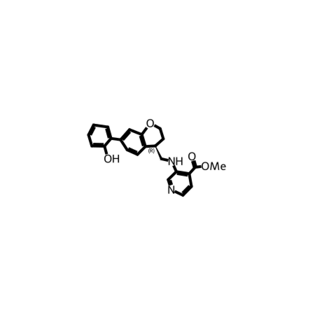 COC(=O)c1ccncc1NC[C@@H]1CCOc2cc(-c3ccccc3O)ccc21